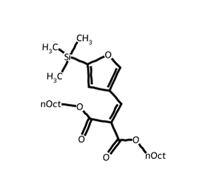 CCCCCCCCOC(=O)C(=Cc1coc([Si](C)(C)C)c1)C(=O)OCCCCCCCC